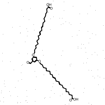 O=Cc1cc(OCCCCCCCCC=CCC=CCCCCCCCC(=O)O)cc(OCCCCCCCCC=CCC=CCCCCCCCC(=O)O)c1